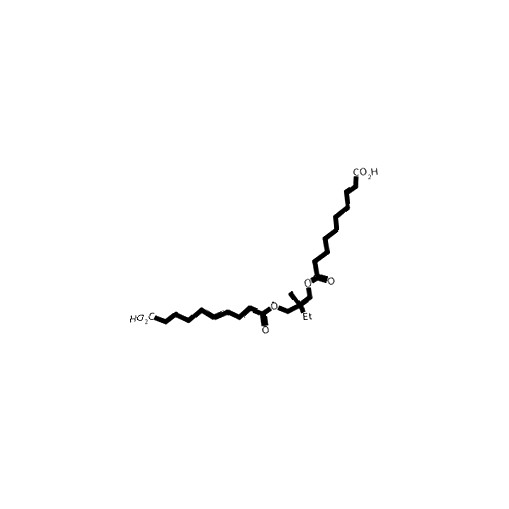 CCC(C)(COC(=O)CCCCCCCCC(=O)O)COC(=O)CCCCCCCCC(=O)O